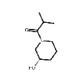 CC(C)C(=O)N1CCC[C@H](O)C1